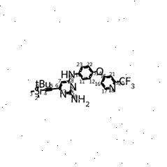 CC(C)(C)[Si](C)(C)C#Cc1cc(Nc2ccc(Oc3ccnc(C(F)(F)F)c3)cc2)nc(N)n1